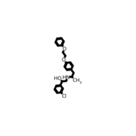 CC(Cc1ccc(OCCOc2ccccc2)cc1)NCC(O)c1cccc(Cl)c1